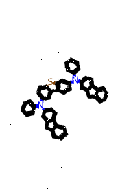 c1ccc(N(c2ccc3c(c2)Cc2ccccc2-3)c2ccc3c(c2)sc2ccc(N(c4ccccc4)c4ccc5c(c4)Cc4ccccc4-5)cc23)cc1